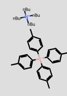 CCCC[N+](CCCC)(CCCC)CCCC.Cc1ccc([B-](c2ccc(C)cc2)(c2ccc(C)cc2)c2ccc(C)cc2)cc1